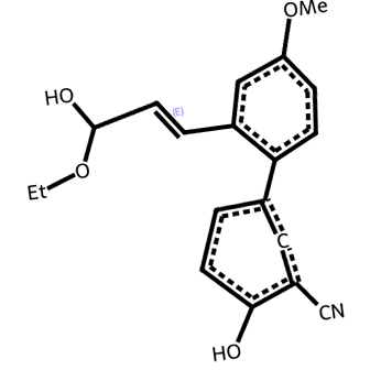 CCOC(O)/C=C/c1cc(OC)ccc1-c1ccc(O)c(C#N)c1